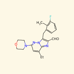 CCc1cc(N2CCOCC2)nn2c(Cc3cccc(F)c3C)c(C=O)nc12